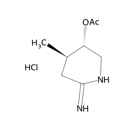 CC(=O)O[C@@H]1CNC(=N)C[C@H]1C.Cl